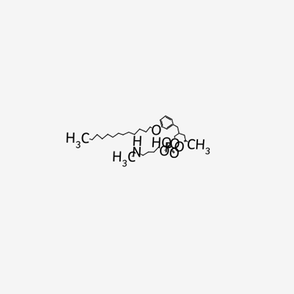 CCCCCCCCCCCCCOc1cccc(CC(COP(=O)(O)OCCCCNC)CC(C)=O)c1